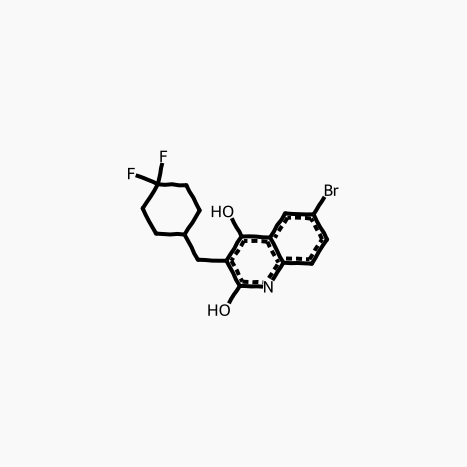 Oc1nc2ccc(Br)cc2c(O)c1CC1CCC(F)(F)CC1